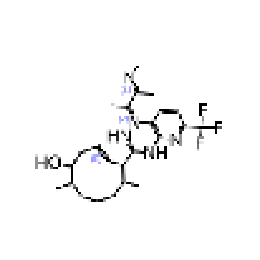 CC(=N/c1ccc(C(F)(F)F)nc1NC(=N)C1/C=C/CC(O)C(C)CCCC1C)/C(C)=N/I